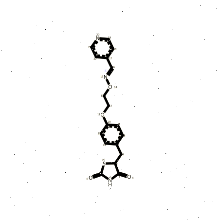 O=C1NC(=O)C(Cc2ccc(OCCO/N=C/c3ccncc3)cc2)S1